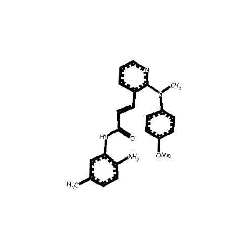 COc1ccc(N(C)c2ncccc2/C=C/C(=O)Nc2cc(C)ccc2N)cc1